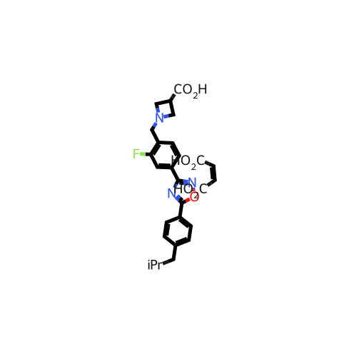 CC(C)Cc1ccc(-c2nc(-c3ccc(CN4CC(C(=O)O)C4)c(F)c3)no2)cc1.O=C(O)/C=C\C(=O)O